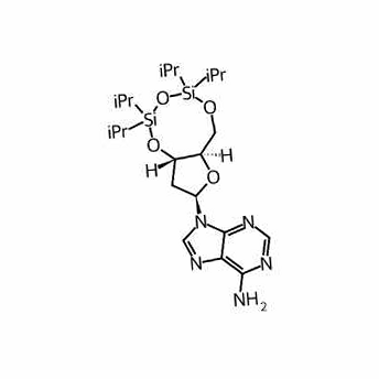 CC(C)[Si]1(C(C)C)OC[C@H]2O[C@@H](n3cnc4c(N)ncnc43)C[C@@H]2O[Si](C(C)C)(C(C)C)O1